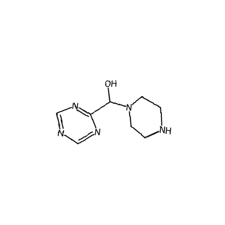 OC(c1ncncn1)N1CCNCC1